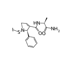 C[C@H](NC(=O)C1=CCN(SI)[C@@H]1c1ccccc1)C(N)=O